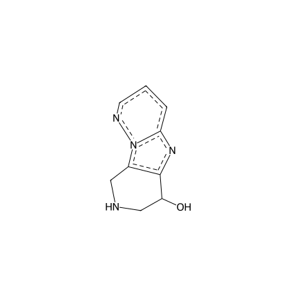 OC1CNCc2c1nc1cccnn21